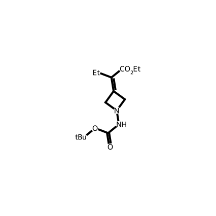 CCOC(=O)C(CC)=C1CN(NC(=O)OC(C)(C)C)C1